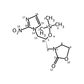 C[Si](C)(C)O[C@H](CN1CCOC1=O)Cn1ccnc1[N+](=O)[O-]